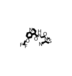 N#CC1CSCN1C(=O)CNC(=O)c1ccnc2ccc(OCC(F)F)cc12